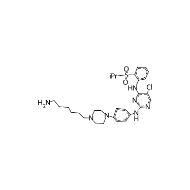 CC(C)S(=O)(=O)c1ccccc1Nc1nc(Nc2ccc(N3CCN(CCCCCCN)CC3)cc2)ncc1Cl